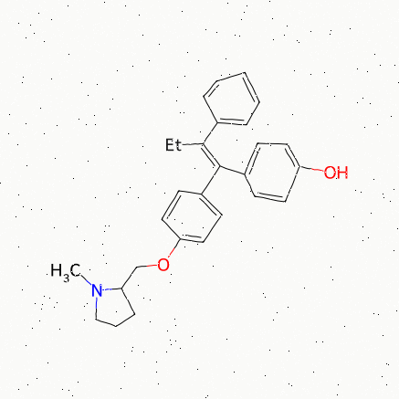 CCC(=C(c1ccc(O)cc1)c1ccc(OCC2CCCN2C)cc1)c1ccccc1